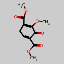 COC(=O)C1=CCC(C(=O)OC)=C(OC)C1=O